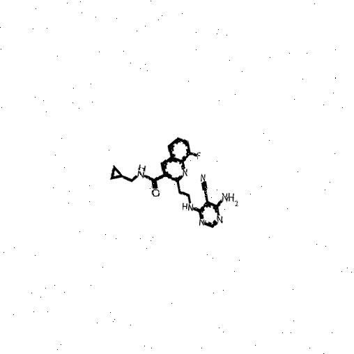 N#Cc1c(N)ncnc1NCCc1nc2c(F)cccc2cc1C(=O)NCC1CC1